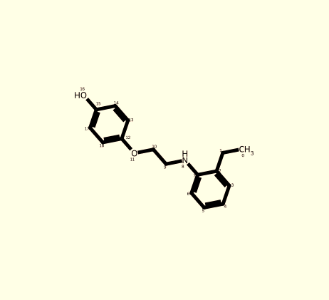 CCc1ccccc1NCCOc1ccc(O)cc1